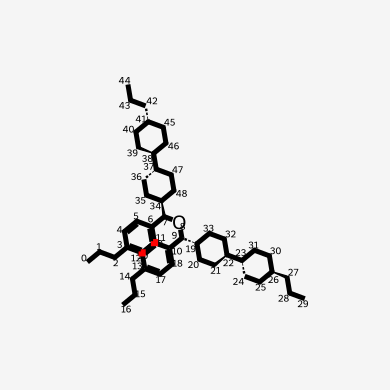 CCCc1ccc(C(OC(c2ccc(CCC)cc2)[C@H]2CC[C@H]([C@H]3CC[C@H](CCC)CC3)CC2)[C@H]2CC[C@H]([C@H]3CC[C@H](CCC)CC3)CC2)cc1